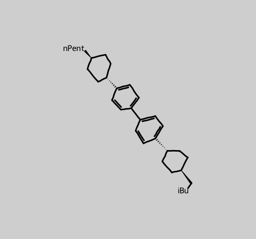 CCCCC[C@H]1CC[C@H](c2ccc(-c3ccc([C@H]4CC[C@H](CC(C)CC)CC4)cc3)cc2)CC1